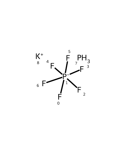 F[P-](F)(F)(F)(F)F.P.[K+]